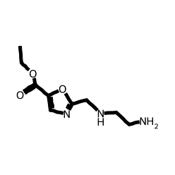 CCOC(=O)c1cnc(CNCCN)o1